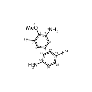 COc1c(N)cccc1F.Nc1ccc(F)cc1